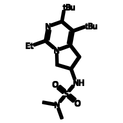 CCC1=NC(C(C)(C)C)C(C(C)(C)C)=C2CC(NS(=O)(=O)N(C)C)CN12